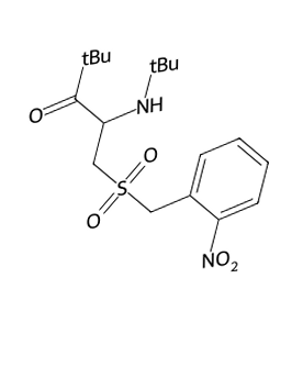 CC(C)(C)NC(CS(=O)(=O)Cc1ccccc1[N+](=O)[O-])C(=O)C(C)(C)C